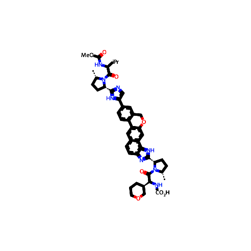 COC(=O)NC(C(=O)N1[C@@H](C)CC[C@H]1c1ncc(-c2ccc3c(c2)COc2cc4c(ccc5nc([C@@H]6CC[C@H](C)N6C(=O)C(NC(=O)O)[C@@H]6CCCOC6)[nH]c54)cc2-3)[nH]1)C(C)C